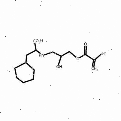 C=C(C(=O)OCC(O)CNC(CC1CCCCC1)C(=O)O)C(C)C